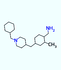 CC1CC(CC2CCN(CC3CCCCC3)CC2)CCC1CN